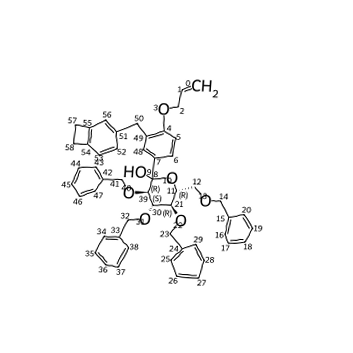 C=CCOc1ccc(C2(O)O[C@H](COCc3ccccc3)[C@@H](OCc3ccccc3)[C@H](OCc3ccccc3)[C@H]2OCc2ccccc2)cc1Cc1ccc2c(c1)CC2